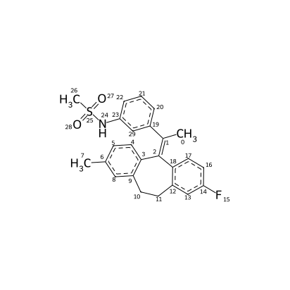 C/C(=C1/c2ccc(C)cc2CCc2cc(F)ccc21)c1cccc(NS(C)(=O)=O)c1